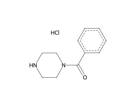 Cl.O=C(c1ccccc1)N1CCNCC1